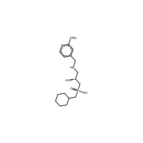 COc1cc(CNC[C@H](O)CP(=O)(O)CC2CCCCC2)ccn1